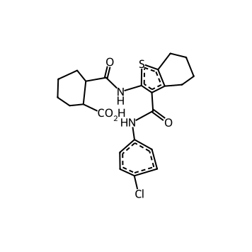 O=C(Nc1ccc(Cl)cc1)c1c(NC(=O)C2CCCCC2C(=O)O)sc2c1CCCC2